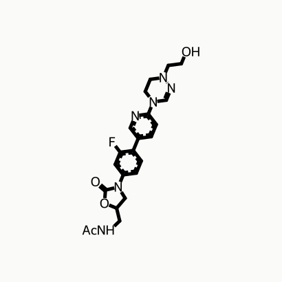 CC(=O)NCC1CN(c2ccc(-c3ccc(N4C=NN(CCO)CC4)nc3)c(F)c2)C(=O)O1